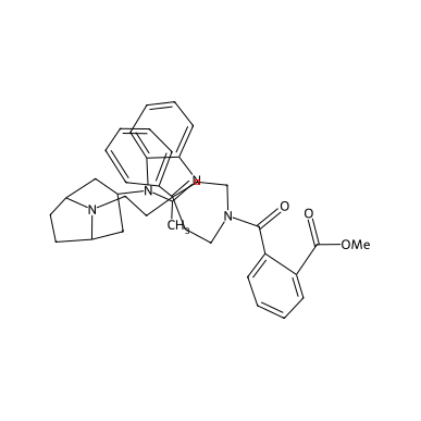 COC(=O)c1ccccc1C(=O)N1CCC(CCN2C3CCC2CC(n2c(C)nc4ccccc42)C3)(c2ccccc2)CC1